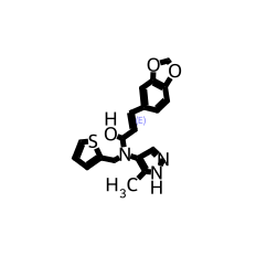 Cc1[nH]ncc1N(Cc1cccs1)C(O)/C=C/c1ccc2c(c1)OCO2